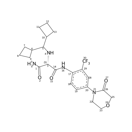 NC(=O)[C@H](NC(C1CCC1)C1CCC1)C(=O)Nc1ccc(N2CCOCC2=O)cc1C(F)(F)F